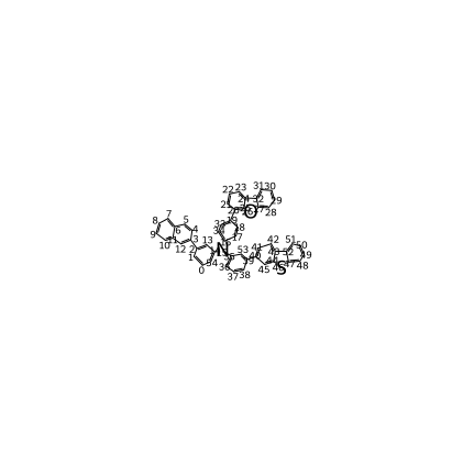 c1cc(-c2ccc3ccccc3c2)cc(N(c2ccc(-c3cccc4c3oc3ccccc34)cc2)c2cccc(-c3ccc4c(c3)sc3ccccc34)c2)c1